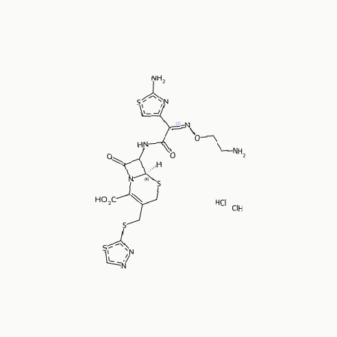 Cl.Cl.NCCO/N=C(\C(=O)NC1C(=O)N2C(C(=O)O)=C(CSc3nncs3)CS[C@H]12)c1csc(N)n1